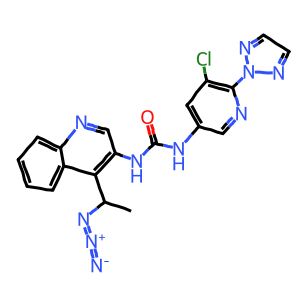 CC(N=[N+]=[N-])c1c(NC(=O)Nc2cnc(-n3nccn3)c(Cl)c2)cnc2ccccc12